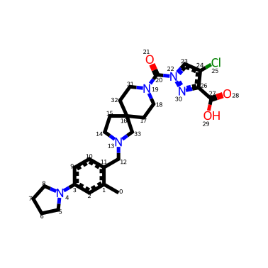 Cc1cc(N2CCCC2)ccc1CN1CCC2(CCN(C(=O)n3cc(Cl)c(C(=O)O)n3)CC2)C1